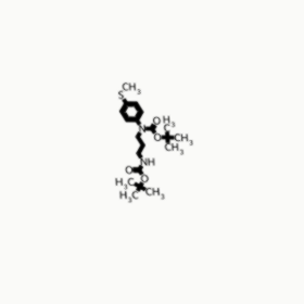 CSc1ccc(N(CCCNC(=O)OC(C)(C)C)C(=O)OC(C)(C)C)cc1